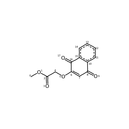 COC(=O)COC1=CC(=O)c2ccccc2C1=O